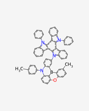 Cc1ccc(N2c3ccc(-n4c5ccccc5c5c6c(c7ccccc7n6-c6ccccc6)c6c(c7ccccc7n6-c6ccccc6)c54)cc3B3c4cc(C)ccc4Oc4cccc2c43)cc1